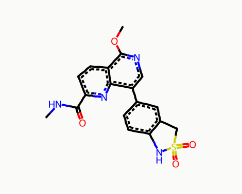 CNC(=O)c1ccc2c(OC)ncc(-c3ccc4c(c3)CS(=O)(=O)N4)c2n1